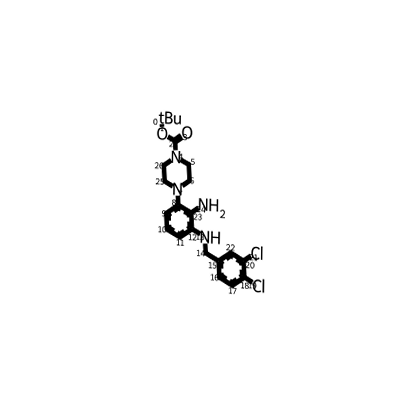 CC(C)(C)OC(=O)N1CCN(c2cccc(NCc3ccc(Cl)c(Cl)c3)c2N)CC1